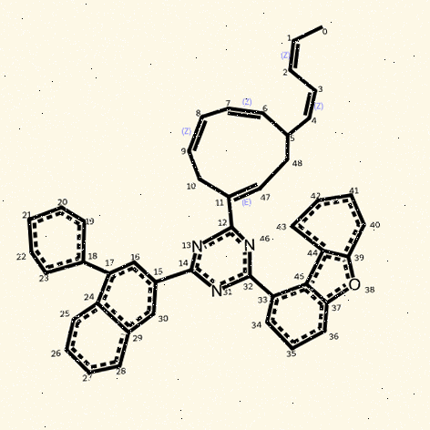 C/C=C\C=C/C1/C=C\C=C/C/C(c2nc(-c3cc(-c4ccccc4)c4ccccc4c3)nc(-c3cccc4oc5ccccc5c34)n2)=C\C1